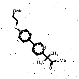 COCCOc1ccc(-c2ccc(C(C)(C)C(=O)OC)nc2)cc1